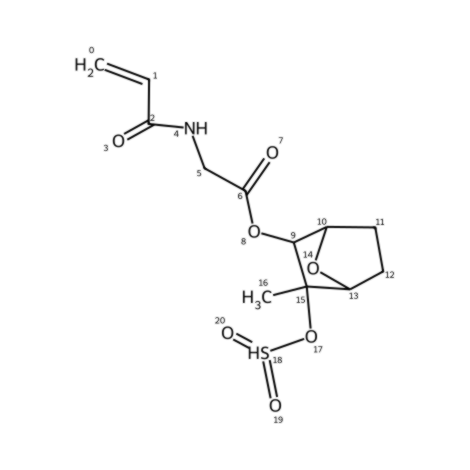 C=CC(=O)NCC(=O)OC1C2CCC(O2)C1(C)O[SH](=O)=O